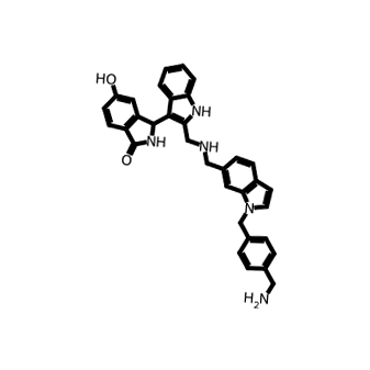 NCc1ccc(Cn2ccc3ccc(CNCc4[nH]c5ccccc5c4C4NC(=O)c5ccc(O)cc54)cc32)cc1